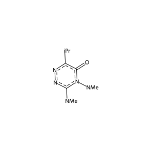 CNc1nnc(C(C)C)c(=O)n1NC